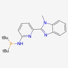 Cn1c(-c2cccc(NP(C(C)(C)C)C(C)(C)C)n2)nc2ccccc21